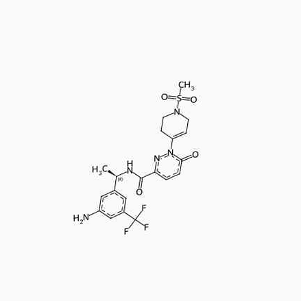 C[C@@H](NC(=O)c1ccc(=O)n(C2=CCN(S(C)(=O)=O)CC2)n1)c1cc(N)cc(C(F)(F)F)c1